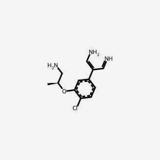 C[C@@H](CN)Oc1cc(/C(C=N)=C/N)ccc1Cl